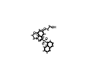 O=S(=O)(c1cccc2ccccc12)c1nn2c3c(cc(OCCO)cc13)OCC2